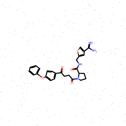 N=C(N)c1csc(CNC(=O)C2CCCN2C(=O)CCC(=O)c2ccc(Oc3ccccc3)cc2)c1